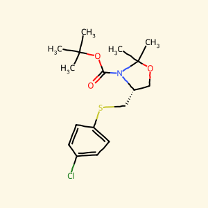 CC(C)(C)OC(=O)N1[C@@H](CSc2ccc(Cl)cc2)COC1(C)C